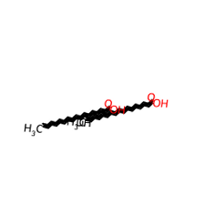 CCCCCCCCCCCCCCCCCC(=O)O.CCCCCCCCCCCCCCCCCC(=O)O.[LiH]